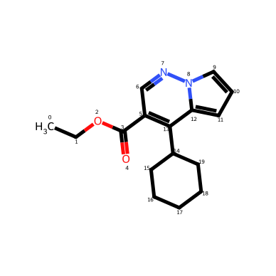 CCOC(=O)c1cnn2cccc2c1C1CCCCC1